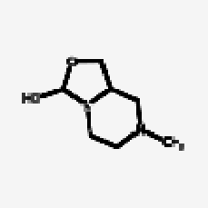 CN1CCN2C(COC2O)C1